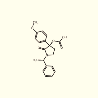 COc1ccc([C@]2(OC(=O)O)CCN([C@H](C)c3ccccc3)C2=O)cc1